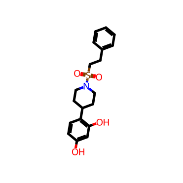 O=S(=O)(CCc1ccccc1)N1CCC(c2ccc(O)cc2O)CC1